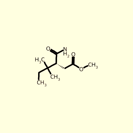 CCC(C)(C)[C@@H](CC(=O)OC)C(N)=O